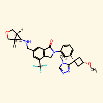 CO[C@H]1C[C@](c2cccc(N3Cc4c(cc(CN[C@H]5[C@@H]6COC[C@@H]65)cc4C(F)(F)F)C3=O)c2)(c2nncn2C)C1